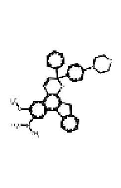 COc1cc2c3c(c4c(c2cc1N(C)C)-c1ccccc1C4)OC(c1ccccc1)(c1ccc(N2CCOCC2)cc1)C=C3